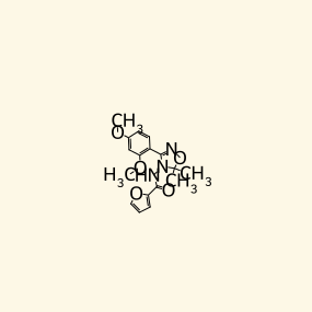 COc1ccc(C2=NOC(C)(C)N2NC(=O)c2ccco2)c(OC)c1